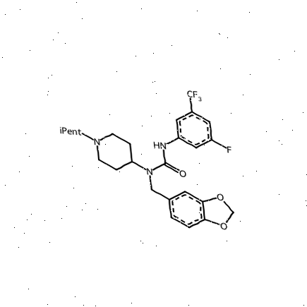 CCCC(C)N1CCC(N(Cc2ccc3c(c2)OCO3)C(=O)Nc2cc(F)cc(C(F)(F)F)c2)CC1